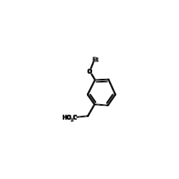 CCOc1cccc(CC(=O)O)c1